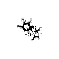 CC(C)[Si](O)(C(C)C)C(F)(F)Oc1ccc(F)c(F)c1F